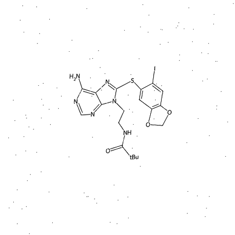 CC(C)(C)C(=O)NCCn1c(Sc2cc3c(cc2I)OCO3)nc2c(N)ncnc21